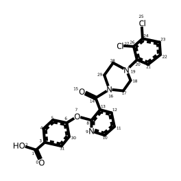 O=C(O)c1ccc(Oc2ncccc2C(=O)N2CCN(c3cccc(Cl)c3Cl)CC2)cc1